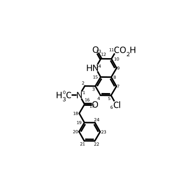 CN(Cc1cc(Cl)cc2cc(C(=O)O)c(=O)[nH]c12)C(=O)Cc1ccccc1